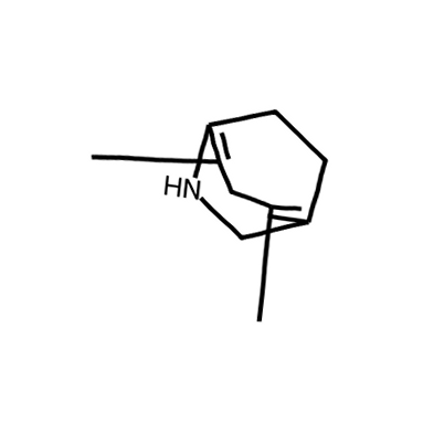 CC1=C2CCC(=C(C)C1)NC2